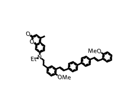 CCN(CCc1ccc(OC)c(/C=C/c2ccc(-c3ccc(/C=C/c4ccccc4OC)cc3)cc2)c1)c1ccc2c(C)cc(=O)oc2c1